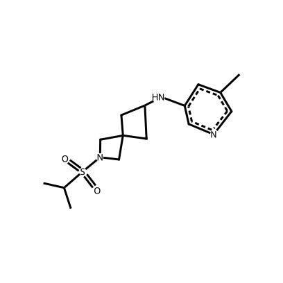 Cc1cncc(NC2CC3(C2)CN(S(=O)(=O)C(C)C)C3)c1